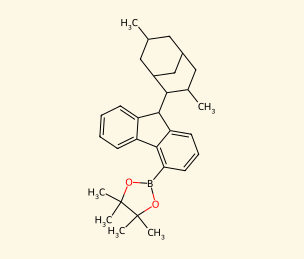 CC1CC2CC(C)C(C3c4ccccc4-c4c(B5OC(C)(C)C(C)(C)O5)cccc43)C(C1)C2